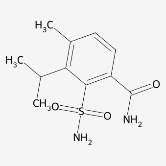 Cc1ccc(C(N)=O)c(S(N)(=O)=O)c1C(C)C